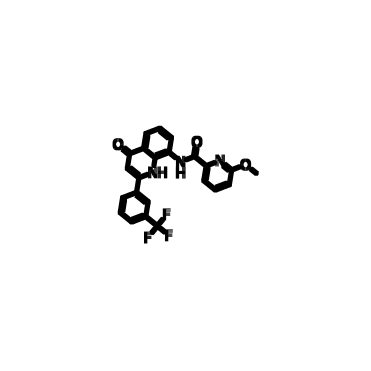 COc1cccc(C(=O)Nc2cccc3c(=O)cc(-c4cccc(C(F)(F)F)c4)[nH]c23)n1